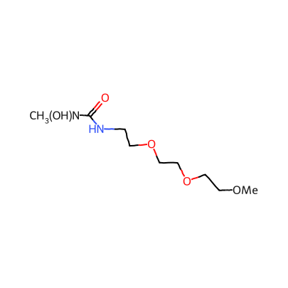 COCCOCCOCCNC(=O)N(C)O